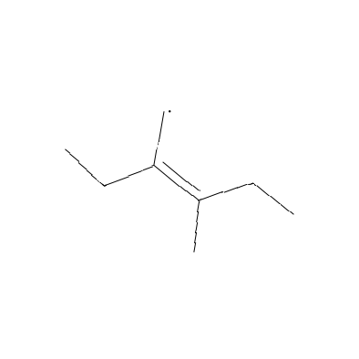 [CH2]/C(CC)=C(/C)CC